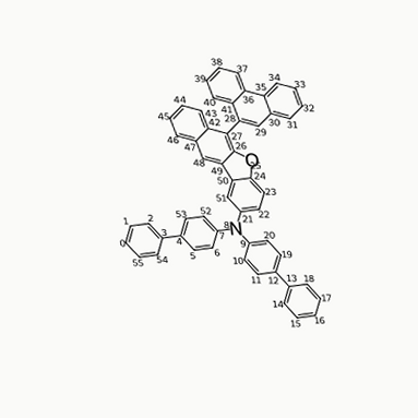 c1ccc(-c2ccc(N(c3ccc(-c4ccccc4)cc3)c3ccc4oc5c(-c6cc7ccccc7c7ccccc67)c6ccccc6cc5c4c3)cc2)cc1